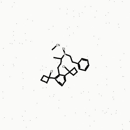 CC#N.CCN(CCc1ccccc1)C(C)CCc1c(C2(Cl)CCC2)cccc1C1(Cl)CCC1